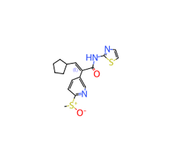 C[S+]([O-])c1ccc(/C(=C\C2CCCC2)C(=O)Nc2nccs2)cn1